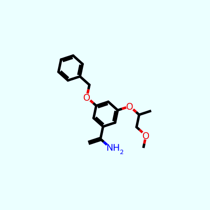 C=C(N)c1cc(OCc2ccccc2)cc(OC(C)COC)c1